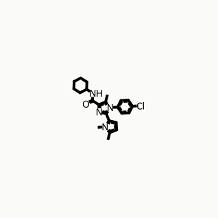 Cc1ccc(-c2nc(C(=O)NC3CCCCC3)c(C)n2-c2ccc(Cl)cc2)n1C